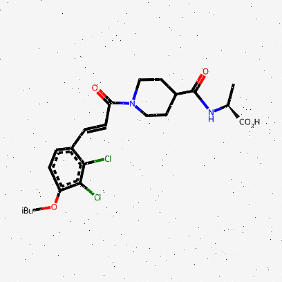 CCC(C)Oc1ccc(/C=C/C(=O)N2CCC(C(=O)N[C@@H](C)C(=O)O)CC2)c(Cl)c1Cl